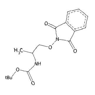 CC(CON1C(=O)c2ccccc2C1=O)NC(=O)OC(C)(C)C